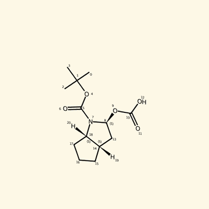 CC(C)(C)OC(=O)N1[C@@H](OC(=O)O)C[C@@H]2CCC[C@@H]21